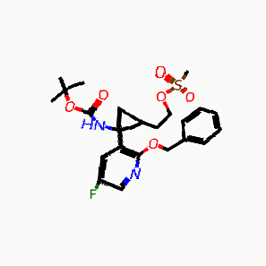 CC(C)(C)OC(=O)NC1(c2cc(F)cnc2OCc2ccccc2)CC1CCOS(C)(=O)=O